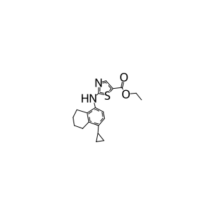 CCOC(=O)c1cnc(Nc2ccc(C3CC3)c3c2CCCC3)s1